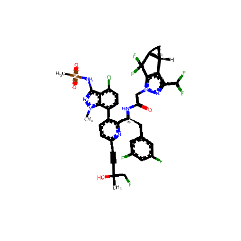 Cn1nc(NS(C)(=O)=O)c2c(Cl)ccc(-c3ccc(C#CC(C)(O)CF)nc3[C@H](Cc3cc(F)cc(F)c3)NC(=O)Cn3nc(C(F)F)c4c3C(F)(F)C3C[C@H]43)c21